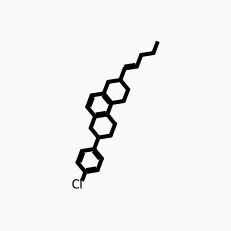 CCC/C=C/C1CCc2c(ccc3c2CCC(c2ccc(Cl)cc2)C3)C1